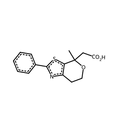 CC1(CC(=O)O)OCCc2nc(-c3ccccc3)sc21